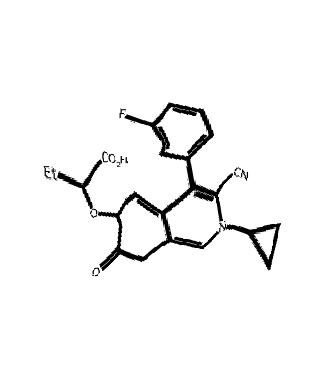 CCC(OC1C=C2C(=CN(C3CC3)C(C#N)=C2c2cccc(F)c2)CC1=O)C(=O)O